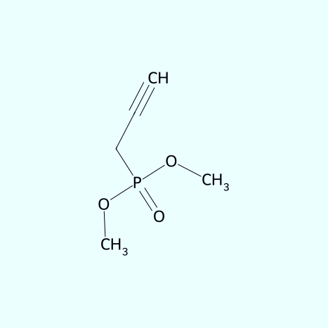 C#CCP(=O)(OC)OC